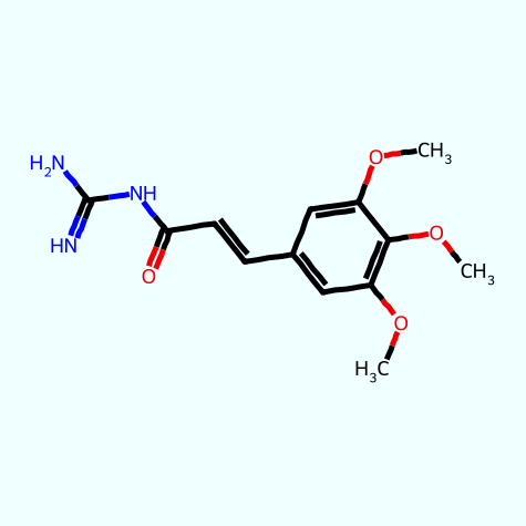 COc1cc(C=CC(=O)NC(=N)N)cc(OC)c1OC